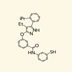 CCc1c(Oc2cccc(C(=O)Nc3cccc(S)c3)c2)n[nH]c1-c1ccccc1C(C)C